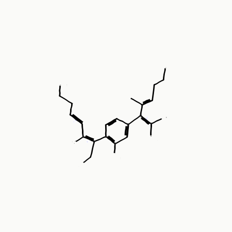 CCC/C=C/C(N)=C(/CC)c1ccc(C(/C(C)=C/CCC)=C(\C)O)cc1C